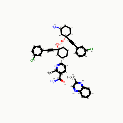 Cc1nc([C@H]2CCC[C@@](O)(C#Cc3cccc(Cl)c3)C2)ccc1C(N)=O.N[C@H]1CCC[C@@](O)(C#Cc2cccc(Cl)c2)C1.O=C(O)c1cnc2ccccc2n1